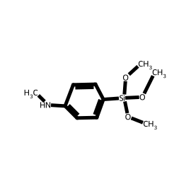 CNc1ccc([Si](OC)(OC)OC)cc1